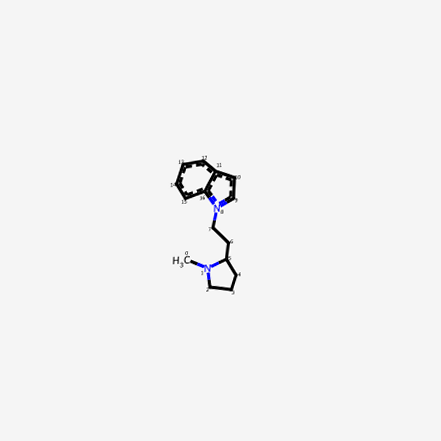 CN1CCCC1CCn1ccc2ccccc21